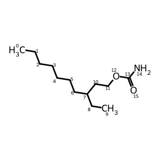 CCCCCCCC(CC)CCOC(N)=O